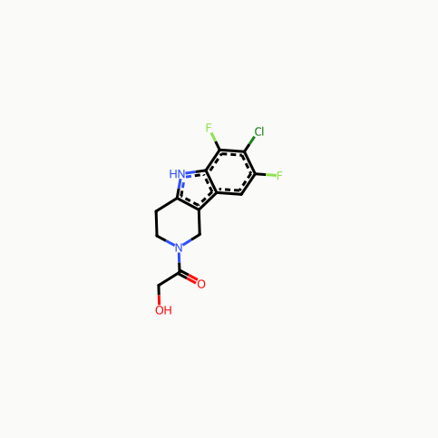 O=C(CO)N1CCc2[nH]c3c(F)c(Cl)c(F)cc3c2C1